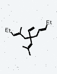 C=CC(C=C(C)C)(CC=CCC)CC(C)=CCC